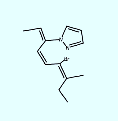 C\C=C(/C=C\C(Br)=C(\C)CC)n1cccn1